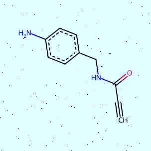 C#CC(=O)NCc1ccc(N)cc1